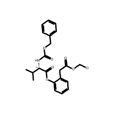 CC(C)[C@H](NC(=O)OCc1ccccc1)C(=O)Oc1ccccc1CC(=O)OCCl